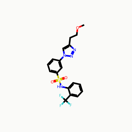 COCCc1cn(-c2cccc(S(=O)(=O)Nc3ccccc3C(F)(F)F)c2)nn1